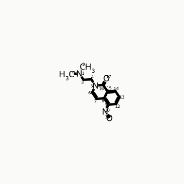 CN(C)CCn1ccc2c(N=O)cccc2c1=O